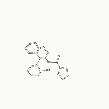 O=C(Nc1ccc2ccccc2c1-c1ccccc1O)c1ccco1